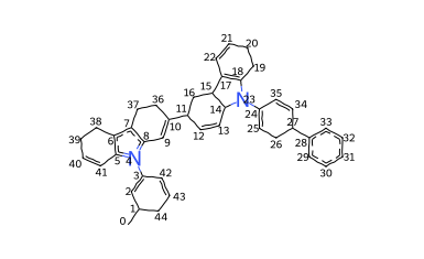 CC1C=C(n2c3c(c4c2C=C(C2C=CC5C(C2)C2=C(CCC=C2)N5C2=CCC(c5ccccc5)C=C2)CC4)CCC=C3)C=CC1